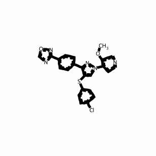 COc1cnccc1-n1cc(Sc2ccc(Cl)cc2)c(-c2ccc(-c3ncon3)cc2)n1